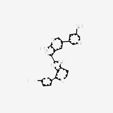 Cc1ccc(-c2nccc3[nH]c(-c4n[nH]c5ncc(-c6cncc(N)c6)cc45)nc23)s1